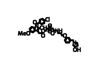 COc1ccc2c(c1)c(CC(=O)OCCS(=O)(=O)CC(=O)NCCCOc1cccc(CN3CCC(O)C3)c1)c(C)n2C(=O)c1ccc(Cl)cc1